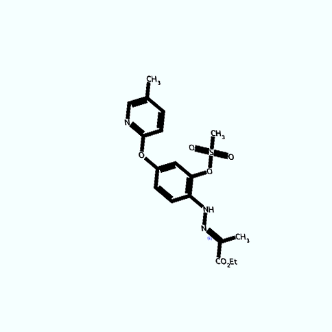 CCOC(=O)/C(C)=N/Nc1ccc(Oc2ccc(C)cn2)cc1OS(C)(=O)=O